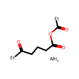 CCC(=O)CCCC(=O)OC(=O)CC.[AlH3]